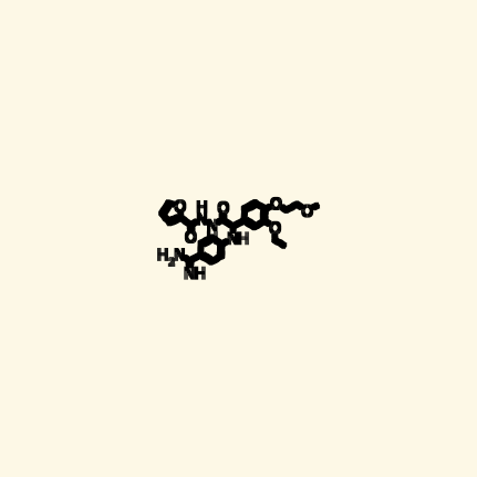 CCOc1cc(C(Nc2ccc(C(=N)N)cc2)C(=O)NNC(=O)c2ccco2)ccc1OCCOC